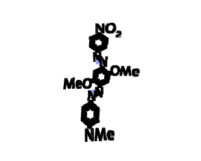 CNc1ccc(/N=N/c2cc(OC)c(/N=N/c3ccc([N+](=O)[O-])cc3)cc2OC)cc1